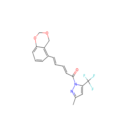 Cc1cc(C(F)(F)F)n(C(=O)C=CC=Cc2cccc3c2COCO3)n1